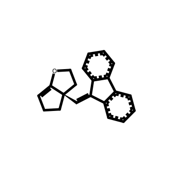 C(=C1c2ccccc2-c2ccccc21)[C@@]12CCC=C1OCC2